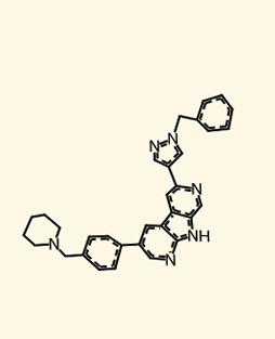 c1ccc(Cn2cc(-c3cc4c(cn3)[nH]c3ncc(-c5ccc(CN6CCCCC6)cc5)cc34)cn2)cc1